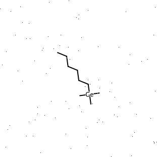 CCCCC[CH][Ge]([CH3])([CH3])[CH3]